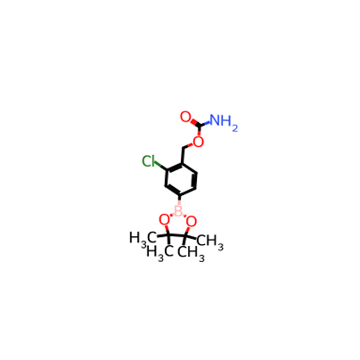 CC1(C)OB(c2ccc(COC(N)=O)c(Cl)c2)OC1(C)C